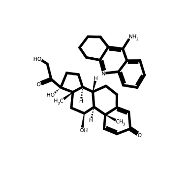 C[C@]12C=CC(=O)C=C1CC[C@@H]1[C@@H]2[C@@H](O)C[C@@]2(C)[C@H]1CC[C@]2(O)C(=O)CO.Nc1c2c(nc3ccccc13)CCCC2